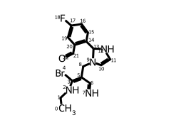 CCN/C(Br)=C(\C=N)CN1C=CNC1c1ccc(F)cc1C=O